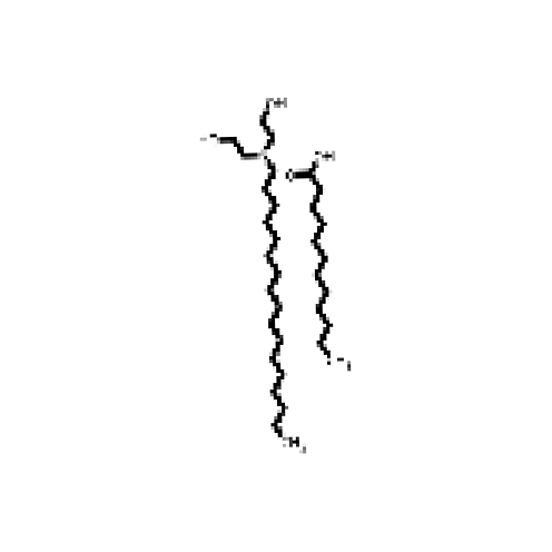 CCCCCCCCCCCC(=O)O.CCCCCCCCCCCCCCCCCN(CCO)CCO